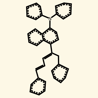 C(=Cc1ccccc1)C=C(Cc1ccccc1)c1ccc(N(c2ccccc2)c2ccccc2)c2ccccc12